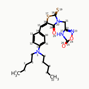 CCCCCN(CCCCC)c1ccc(C=C2SC(=S)N(Cc3noc(=O)[nH]3)C2=O)cc1